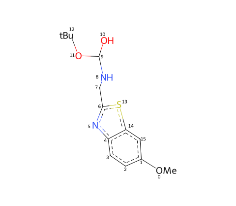 COc1ccc2nc(CNC(O)OC(C)(C)C)sc2c1